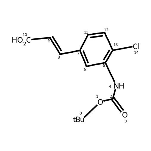 CC(C)(C)OC(=O)Nc1cc(C=CC(=O)O)ccc1Cl